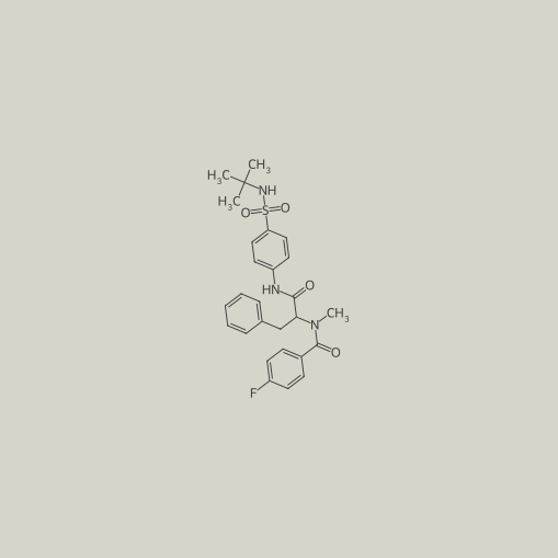 CN(C(=O)c1ccc(F)cc1)C(Cc1ccccc1)C(=O)Nc1ccc(S(=O)(=O)NC(C)(C)C)cc1